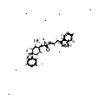 CN(C)C1(c2ccccc2)CCC(CC(=O)NCCc2c[nH]c3ccccc23)CC1.Cl